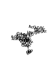 CC(=O)NC1C(C(=O)CCCC(=O)NCCN(CCNC(=O)CCCC(=O)C2OC(COC(C)=O)C(OC(C)=O)C(OC(C)=O)C2NC(C)=O)C(=O)CC[C@H](NC(=O)CCCC(=O)C2OC(COC(C)=O)C(OC(C)=O)C(OC(C)=O)C2NC(C)=O)C(=O)NCCCCCCCCCCC(=O)ON2C(=O)CCC2=O)OC(COC(C)=O)C(OC(C)=O)C1OC(C)=O